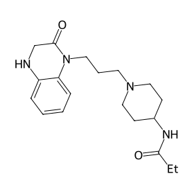 CCC(=O)NC1CCN(CCCN2C(=O)CNc3ccccc32)CC1